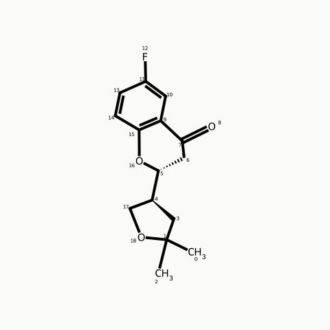 CC1(C)C[C@H]([C@H]2CC(=O)c3cc(F)ccc3O2)CO1